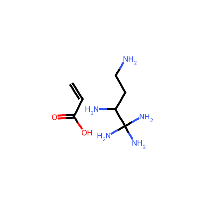 C=CC(=O)O.NCCC(N)C(N)(N)N